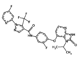 CC(C)n1c(=O)[nH]c2nccc(Oc3ccc(NC(=O)c4cnn(-c5cc(F)ccn5)c4C(F)(F)F)cc3F)c21